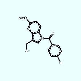 COc1ccc2c(n1)c(CC(C)=O)cn2C(=O)c1ccc(Cl)cc1